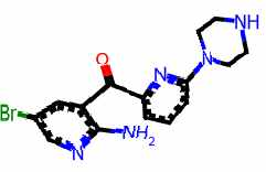 Nc1ncc(Br)cc1C(=O)c1cccc(N2CCNCC2)n1